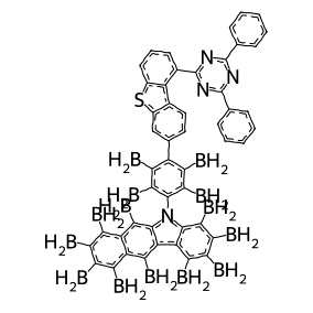 Bc1c(B)c(-n2c3c(B)c(B)c(B)c(B)c3c3c(B)c4c(B)c(B)c(B)c(B)c4c(B)c32)c(B)c(B)c1-c1ccc2c(c1)sc1cccc(-c3nc(-c4ccccc4)nc(-c4ccccc4)n3)c12